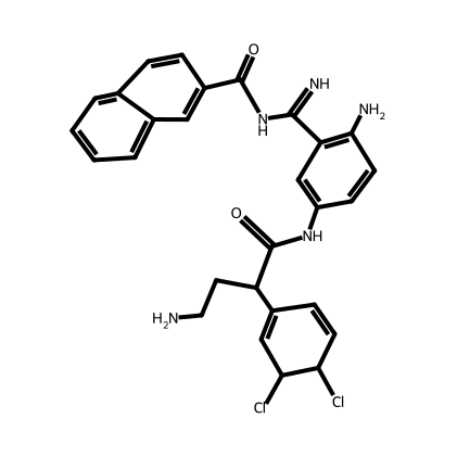 N=C(NC(=O)c1ccc2ccccc2c1)c1cc(NC(=O)C(CCN)C2=CC(Cl)C(Cl)C=C2)ccc1N